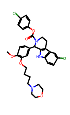 COc1ccc(C2c3[nH]c4ccc(Cl)cc4c3CCN2C(=O)Oc2ccc(Cl)cc2)cc1OCCCCN1CCOCC1